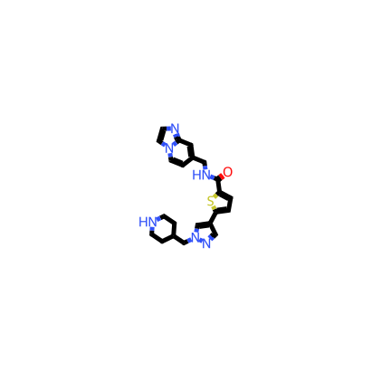 O=C(NCc1ccn2ccnc2c1)c1ccc(-c2cnn(CC3CCNCC3)c2)s1